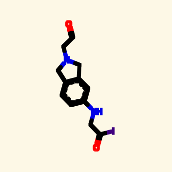 O=CCN1Cc2ccc(NCC(=O)I)cc2C1